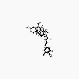 CC[C@@H]1C2C[C@H](O)CCC2(C)[C@H]2CCC3(C)[C@@H]([C@H](C)C/C=C/c4cc(F)c(O)c(F)c4)CC[C@H]3[C@@H]2[C@@H]1O